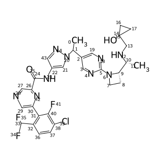 CC(c1cnc(N2CC[C@H]2[C@@H](C)NCC2(O)CC2)nc1)n1cc(NC(=O)c2cncc(-c3c(C(F)F)ccc(Cl)c3F)n2)cn1